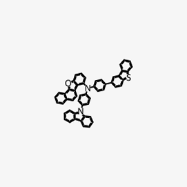 c1ccc2c(c1)ccc1c2oc2cccc(N(c3ccc(-c4ccc5sc6ccccc6c5c4)cc3)c3ccc(-n4c5ccccc5c5ccccc54)cc3)c21